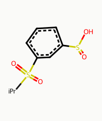 CC(C)S(=O)(=O)c1cccc(S(=O)O)c1